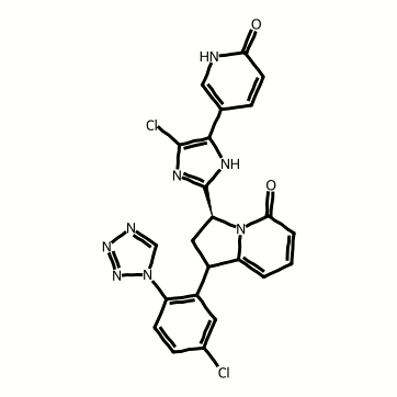 O=c1ccc(-c2[nH]c([C@@H]3CC(c4cc(Cl)ccc4-n4cnnn4)c4cccc(=O)n43)nc2Cl)c[nH]1